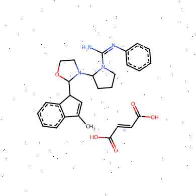 CC1=CC(C2OCCN2C2CCCN2C(N)=Nc2ccccc2)c2ccccc21.O=C(O)/C=C/C(=O)O